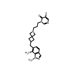 Cc1c(CC2CC3(C2)CN(CCCn2cncc(F)c2=O)C3)ccc2cnn(C)c12